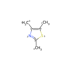 [CH2]c1nc(C)sc1C